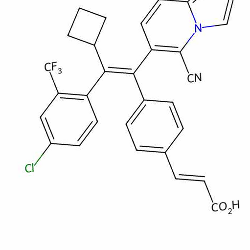 N#Cc1c(C(=C(c2ccc(Cl)cc2C(F)(F)F)C2CCC2)c2ccc(C=CC(=O)O)cc2)ccc2nccn12